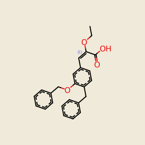 CCO/C(=C/c1ccc(Cc2ccccc2)c(OCc2ccccc2)c1)C(=O)O